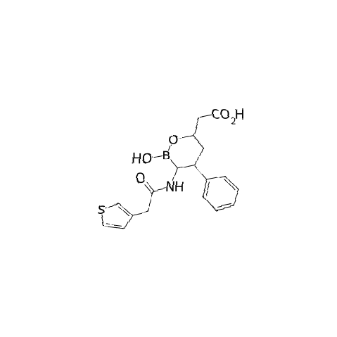 O=C(O)CC1CC(c2ccccc2)C(NC(=O)Cc2ccsc2)B(O)O1